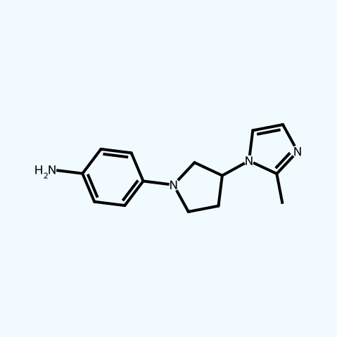 Cc1nccn1C1CCN(c2ccc(N)cc2)C1